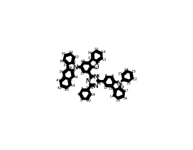 c1ccc(-c2nc(-c3ccc4c(c3)c3ccccc3n4-c3ccccc3)nc(-c3cc(-n4c5ccccc5c5cc6ccccc6cc54)cc4c3oc3ccccc34)n2)cc1